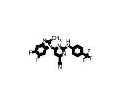 Cc1nc2cc(F)c(F)cc2n1-c1cc(C#N)nc(Nc2ccc(C(F)(F)F)cc2)n1